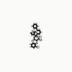 O=C1CC(c2ccsc2)(c2cccc(-c3ccccc3)n2)NC(=O)C1Sc1ccccc1Cl